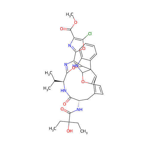 CCC(O)(CC)C(=O)N[C@H]1Cc2ccc3c(c2)C2(c4ccccc4NC2O3)c2oc(nc2-c2nc(C(=O)OC)c(Cl)o2)[C@H](C(C)C)NC1=O